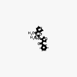 C[C@@H](c1ccncc1)N(C)C(=O)NC1COCC1C(=O)c1ccccc1